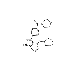 O=C(c1ccc(-c2n[nH]c3ccnc(OC4CCOCC4)c23)cc1)N1CCOCC1